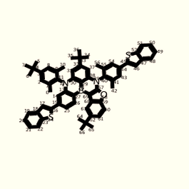 Cc1cc(C(C)(C)C)cc(C)c1N1c2cc(-c3cc4ccccc4s3)ccc2B2c3c1cc(C(C)(C)C)cc3N(c1c(C)cc(-c3cc4ccccc4s3)cc1C)c1oc3ccc(C(C)(C)C)cc3c12